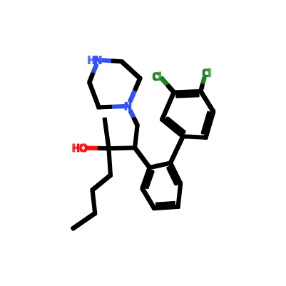 CCCCC(C)(O)C(CN1CCNCC1)c1ccccc1-c1ccc(Cl)c(Cl)c1